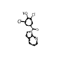 O=C(c1cc(Cl)c(O)c(Cl)c1)n1ccc2cccnc21